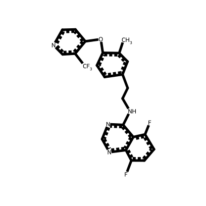 Cc1cc(CCNc2ncnc3c(F)ccc(F)c23)ccc1Oc1ccncc1C(F)(F)F